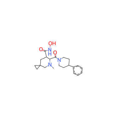 CN1CC2(CC2)CC(C(=O)NO)C1C(=O)N1CCC(c2ccccc2)CC1